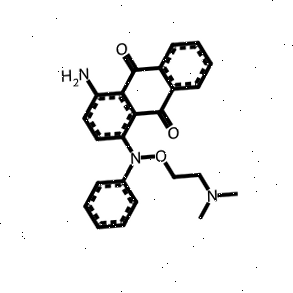 CN(C)CCON(c1ccccc1)c1ccc(N)c2c1C(=O)c1ccccc1C2=O